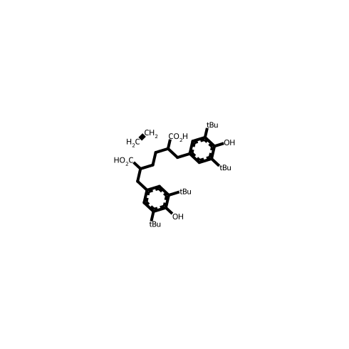 C=C.CC(C)(C)c1cc(CC(CCC(Cc2cc(C(C)(C)C)c(O)c(C(C)(C)C)c2)C(=O)O)C(=O)O)cc(C(C)(C)C)c1O